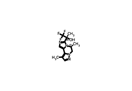 Cc1cnn2c1-c1cnc([C@@](C)(O)C(F)(F)F)n1[C@@H](C)C2